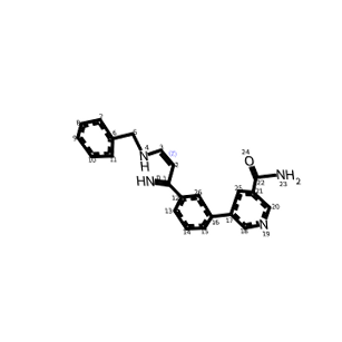 N=C(/C=C\NCc1ccccc1)c1cccc(-c2cncc(C(N)=O)c2)c1